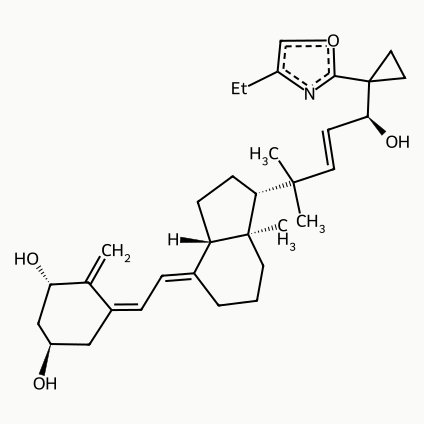 C=C1/C(=C\C=C2/CCC[C@]3(C)[C@@H](C(C)(C)/C=C/[C@H](O)C4(c5nc(CC)co5)CC4)CC[C@@H]23)C[C@@H](O)C[C@@H]1O